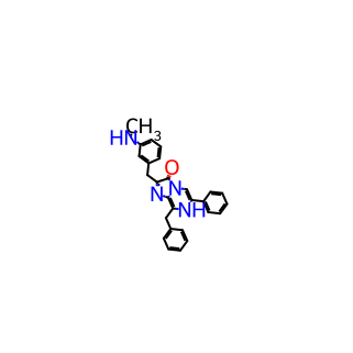 CNc1cccc(Cc2nc3c(Cc4ccccc4)[nH]c(-c4ccccc4)cn-3c2=O)c1